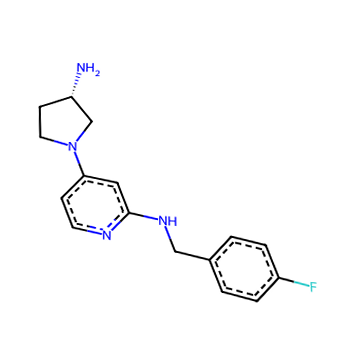 N[C@H]1CCN(c2ccnc(NCc3ccc(F)cc3)c2)C1